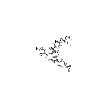 C=CC(=O)N1CCc2nn(-c3ccc(C4CC4)cc3)c3c2[C@H](C1)N(C(=O)c1ccc(OC(C)C)nc1)CC3